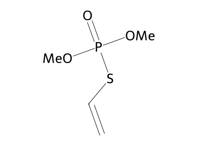 C=CSP(=O)(OC)OC